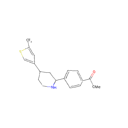 COC(=O)c1ccc(C2CC(c3csc(C(F)(F)F)c3)CCN2)cc1